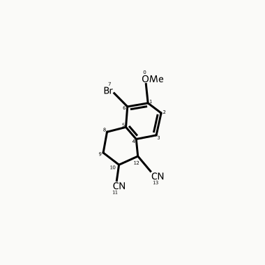 COc1ccc2c(c1Br)CCC(C#N)C2C#N